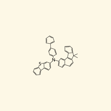 CC1(C)c2ccccc2-c2c1ccc1ccc(N(c3ccc(-c4ccccc4)cc3)c3ccc4c(c3)sc3ccccc34)cc21